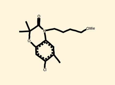 COCCCCN1C(=O)C(C)(C)Oc2cc(Cl)c(C)cc21